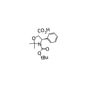 CC(C)(C)OC(=O)N1[C@H](c2ccccc2)[C@@H](C(=O)O)OC1(C)C